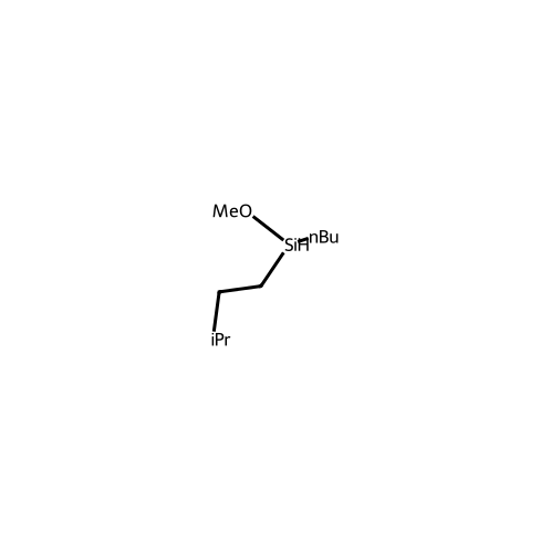 CCCC[SiH](CCC(C)C)OC